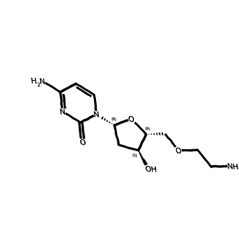 NCCOC[C@H]1O[C@@H](n2ccc(N)nc2=O)C[C@@H]1O